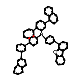 c1ccc(-c2ccc(-c3cccc4ccccc34)cc2N(c2ccc(-c3cccc(-c4ccc5ccccc5c4)c3)cc2)c2ccc(-c3cccc4c3oc3ccccc34)cc2)cc1